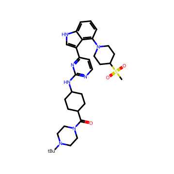 CC(C)(C)N1CCN(C(=O)C2CCC(Nc3nccc(-c4c[nH]c5cccc(N6CCC(S(C)(=O)=O)CC6)c45)n3)CC2)CC1